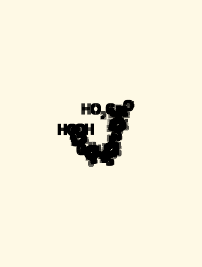 Cc1cc(OC2CCS(O)(O)CC2)ccc1-c1csc2ccc(COc3ccc(C4(CC(=O)O)CC(=O)C4)cc3)cc12